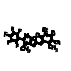 CCN1C(=O)C(C#N)=C(C)/C(=C/c2cc3c(nc(-c4c(F)c(F)c(F)c(F)c4F)n3C)o2)C1=O